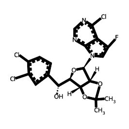 CC1(C)O[C@H]2[C@@H](O1)[C@H](n1cc(F)c3c(Cl)ncnc31)O[C@@H]2[C@H](O)c1ccc(Cl)c(Cl)c1